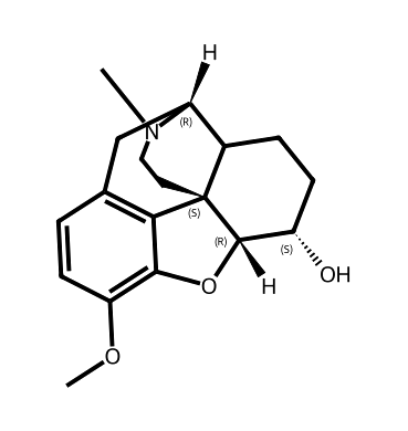 COc1ccc2c3c1O[C@H]1[C@@H](O)CCC4[C@@H](C2)N(C)CC[C@@]341